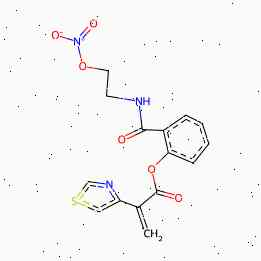 C=C(C(=O)Oc1ccccc1C(=O)NCCO[N+](=O)[O-])c1cscn1